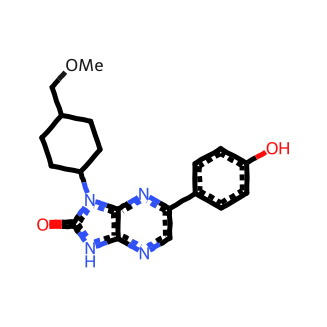 COCC1CCC(n2c(=O)[nH]c3ncc(-c4ccc(O)cc4)nc32)CC1